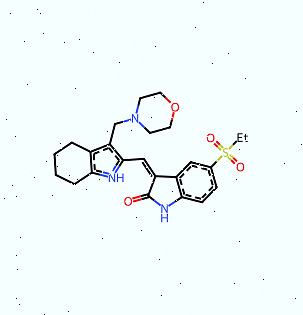 CCS(=O)(=O)c1ccc2c(c1)C(=Cc1[nH]c3c(c1CN1CCOCC1)CCCC3)C(=O)N2